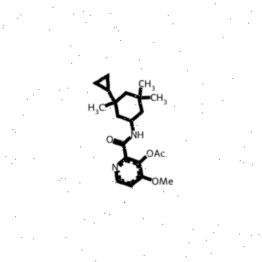 COc1ccnc(C(=O)NC2CC(C)(C)CC(C)(C3CC3)C2)c1OC(C)=O